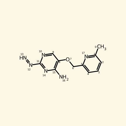 Cc1cccc(COc2cnc(N=N)nc2N)n1